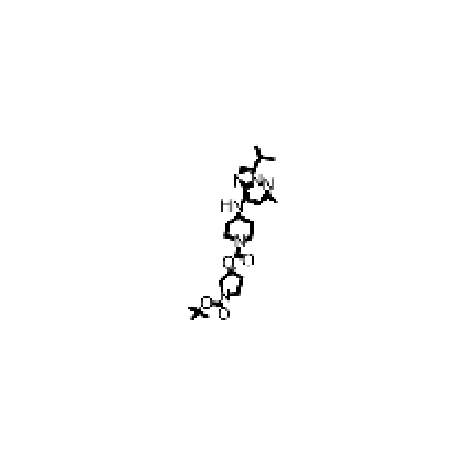 Cc1cc(NC2CCN(C(=O)O[C@H]3CCN(C(=O)OC(C)(C)C)C3)CC2)c2ncc(C(C)C)n2n1